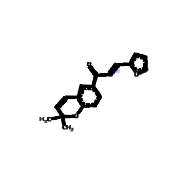 CC1(C)C=Cc2cc(C(=O)/C=C/c3ccco3)ccc2O1